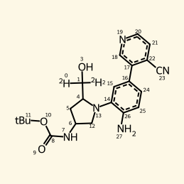 [2H]C([2H])(O)C1CC(NC(=O)OC(C)(C)C)CN1c1cc(-c2cnccc2C#N)ccc1N